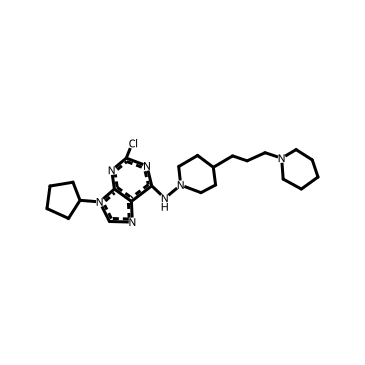 Clc1nc(NN2CCC(CCCN3CCCCC3)CC2)c2ncn(C3CCCC3)c2n1